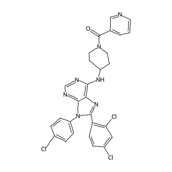 O=C(c1cccnc1)N1CCC(Nc2ncnc3c2nc(-c2ccc(Cl)cc2Cl)n3-c2ccc(Cl)cc2)CC1